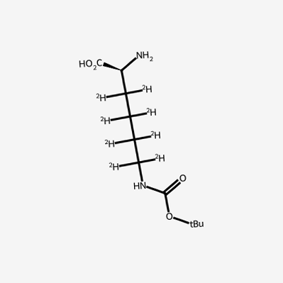 [2H]C([2H])(NC(=O)OC(C)(C)C)C([2H])([2H])C([2H])([2H])C([2H])([2H])[C@H](N)C(=O)O